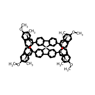 COc1ccc(N(c2ccc(OC)cc2)c2ccc3c(c2)S2(c4cc(N(c5ccc(OC)cc5)c5ccc(OC)cc5)ccc4-3)c3cc(N(c4ccc(OC)cc4)c4ccc(OC)cc4)ccc3-c3ccc(N(c4ccc(OC)cc4)c4ccc(OC)cc4)cc32)cc1